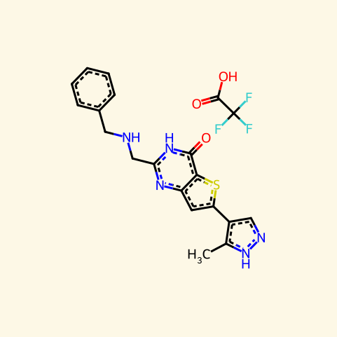 Cc1[nH]ncc1-c1cc2nc(CNCc3ccccc3)[nH]c(=O)c2s1.O=C(O)C(F)(F)F